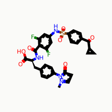 Cn1ccc(=O)n1-c1ccc(C[C@H](NC(=O)c2c(F)cc(NS(=O)(=O)c3ccc(C(=O)C4CC4)cc3)cc2F)C(=O)O)cc1